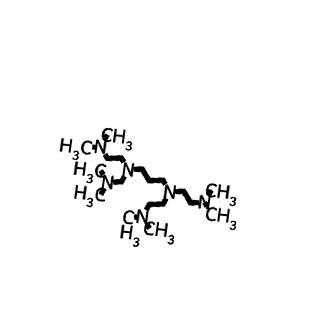 CN(C)CCN(CCCN(CCN(C)C)CN(C)C)CCN(C)C